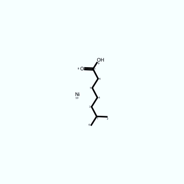 CC(C)CCCCC(=O)O.[Ni]